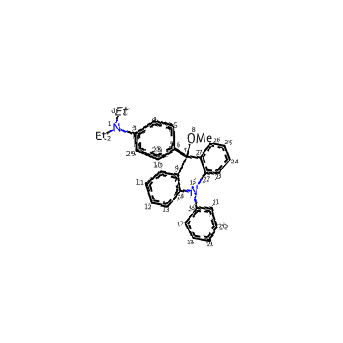 CCN(CC)c1ccc(C2(OC)c3ccccc3N(c3ccccc3)c3ccccc32)cc1